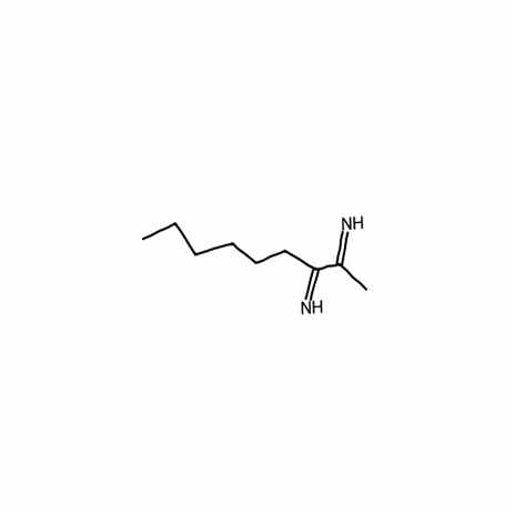 CCCCCCC(=N)C(C)=N